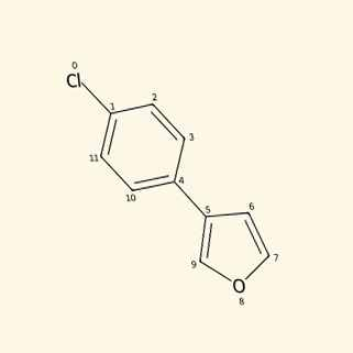 Clc1ccc(-c2ccoc2)cc1